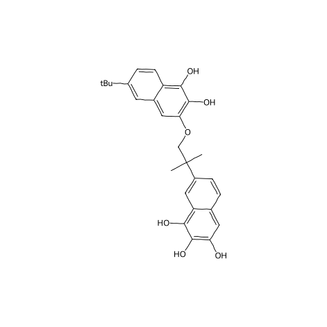 CC(C)(C)c1ccc2c(O)c(O)c(OCC(C)(C)c3ccc4cc(O)c(O)c(O)c4c3)cc2c1